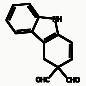 O=CC1(C=O)C=Cc2[nH]c3ccccc3c2C1